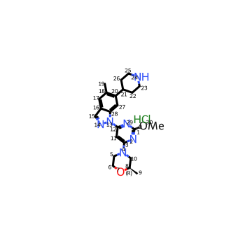 COc1nc(N2CCO[C@H](C)C2)cc(-n2ncc3cc(C)c(C4CCNCC4)cc32)n1.Cl